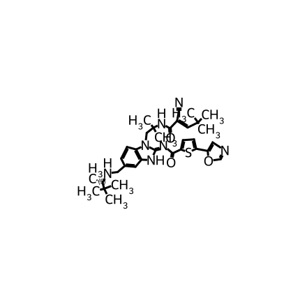 C[C@H](NCc1ccc2c(c1)[nH]c(=NC(=O)c1ccc(-c3cnco3)s1)n2CC(C)(C)NC(=O)C(C#N)=CC(C)(C)C)C(C)(C)C